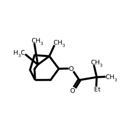 CCC(C)(C)C(=O)OC1CC2CCC1(C)C(C)(C)C2